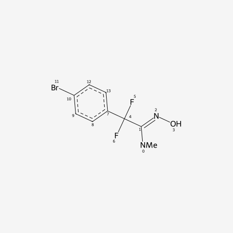 CN/C(=N\O)C(F)(F)c1ccc(Br)cc1